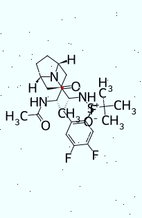 CC(=O)N[C@@H](C)C(=O)N1[C@@H]2CC[C@H]1C[C@H]([C@@H](Cc1cc(F)c(F)cc1F)N[S+]([O-])C(C)(C)C)C2